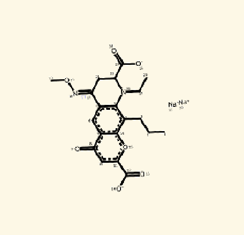 CCCc1c2c(cc3c(=O)cc(C(=O)[O-])oc13)/C(=N/OC)CC(C(=O)[O-])N2CC.[Na+].[Na+]